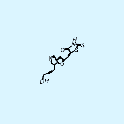 O=C1NC(=S)S/C1=C/c1cc2cncc(CC#CCO)c2o1